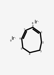 C1=C\CCCC\C=C/1.[Ir].[Ir]